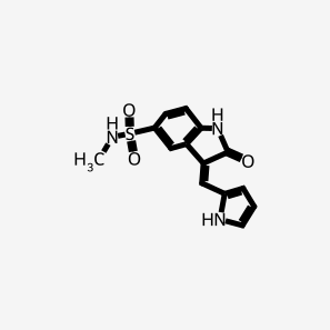 CNS(=O)(=O)c1ccc2c(c1)/C(=C/c1ccc[nH]1)C(=O)N2